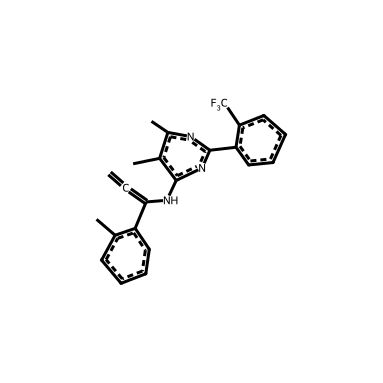 C=C=C(Nc1nc(-c2ccccc2C(F)(F)F)nc(C)c1C)c1ccccc1C